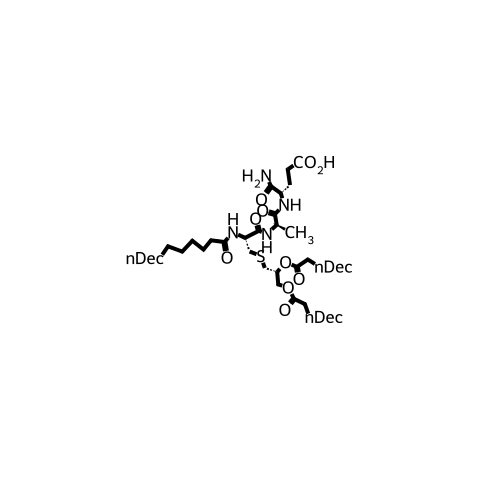 CCCCCCCCCCCCCCCC(=O)N[C@@H](CSC[C@@H](COC(=O)CCCCCCCCCCC)OC(=O)CCCCCCCCCCC)C(=O)N[C@H](C)C(=O)N[C@@H](CCC(=O)O)C(N)=O